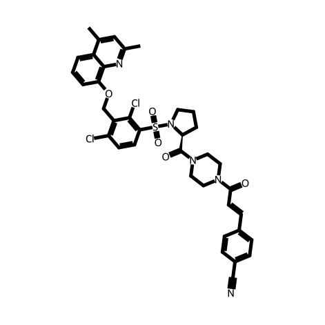 Cc1cc(C)c2cccc(OCc3c(Cl)ccc(S(=O)(=O)N4CCC[C@H]4C(=O)N4CCN(C(=O)C=Cc5ccc(C#N)cc5)CC4)c3Cl)c2n1